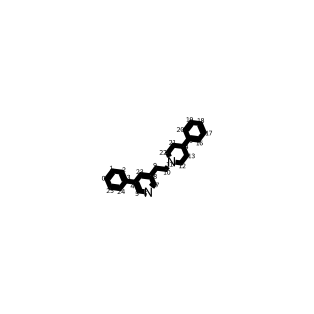 c1ccc(-c2cncc(CCN3CCC(c4ccccc4)CC3)c2)cc1